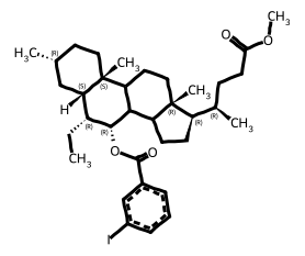 CC[C@H]1[C@@H](OC(=O)c2cccc(I)c2)C2C3CC[C@H]([C@H](C)CCC(=O)OC)[C@@]3(C)CCC2[C@@]2(C)CC[C@@H](C)C[C@@H]12